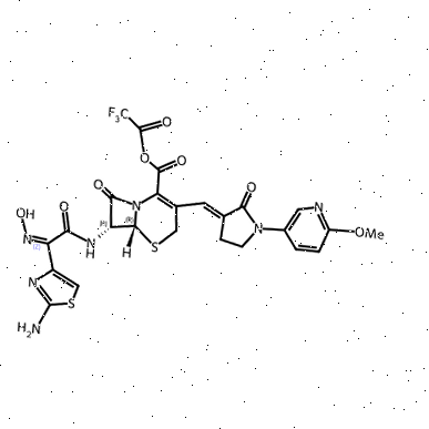 COc1ccc(N2CCC(=CC3=C(C(=O)OC(=O)C(F)(F)F)N4C(=O)[C@@H](NC(=O)/C(=N\O)c5csc(N)n5)[C@H]4SC3)C2=O)cn1